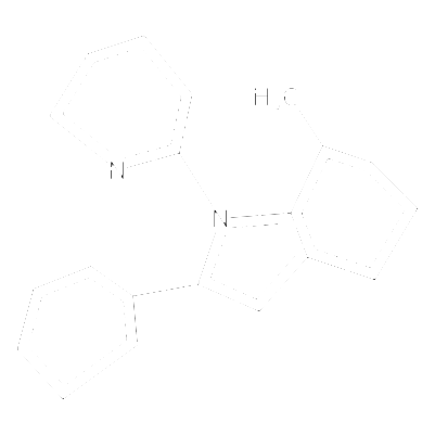 Cc1cccc2cc(-c3ccccc3)n(-c3ccccn3)c12